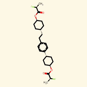 C[C@H](F)C(=O)O[C@H]1CC[C@H](CCc2ccc([C@H]3CC[C@H](OC(=O)[C@H](C)F)CC3)cc2)CC1